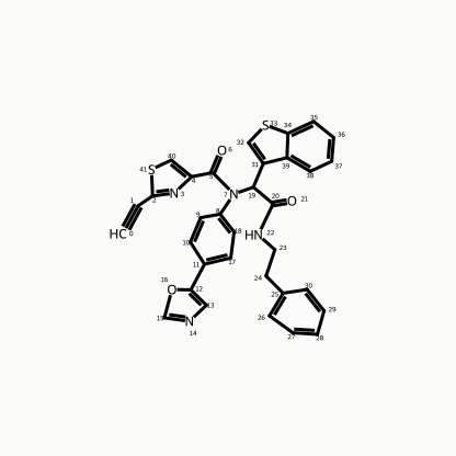 C#Cc1nc(C(=O)N(c2ccc(-c3cnco3)cc2)C(C(=O)NCCc2ccccc2)c2csc3ccccc23)cs1